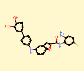 Nc1ccc(F)cc1NC(=O)c1cc2cc(Nc3ccc(-c4ccc(O)c(O)c4)cc3)ccc2o1